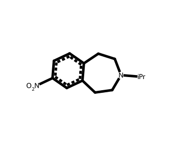 CC(C)N1CCc2ccc([N+](=O)[O-])cc2CC1